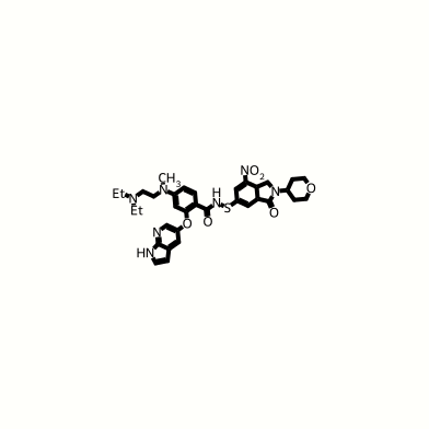 CCN(CC)CCN(C)c1ccc(C(=O)NSC2=CC3C(=O)N(C4CCOCC4)CC3C([N+](=O)[O-])=C2)c(Oc2cnc3[nH]ccc3c2)c1